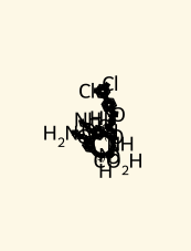 C[C@@H]1NC(=O)[C@@H](N(C)C(=O)CNC(=O)c2ccc(-c3cc(Cl)cc(Cl)c3)cc2)c2ccc(OCCN)c(c2)-c2cc(ccc2OCCN)C[C@@H](C(=O)O)NC1=O